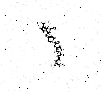 Cc1nc(NC2CCN(C(=O)N[C@@H]3CCN(C(=O)/C=C/CN(C)C)C3)CC2)n2ncc(C(C)C)c2n1